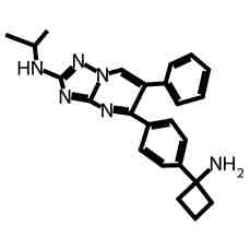 CC(C)Nc1nc2nc(-c3ccc(C4(N)CCC4)cc3)c(-c3ccccc3)cn2n1